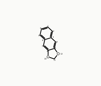 [c]1ccc2cc3c(cc2c1)OCO3